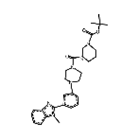 Cn1c(-c2cccc(N3CCN(C(=O)[C@@H]4CCCN(C(=O)OC(C)(C)C)C4)CC3)c2)nc2ccccc21